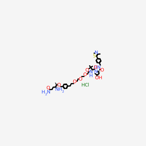 Cc1ncsc1-c1ccc(CNC(=O)[C@@H]2C[C@@H](O)CN2C(=O)[C@@H](NC(=O)COCCOCCOCCCc2ccc(CO[C@H](C)[C@@H](N)CCC(N)=O)cc2)C(C)(C)C)cc1.Cl